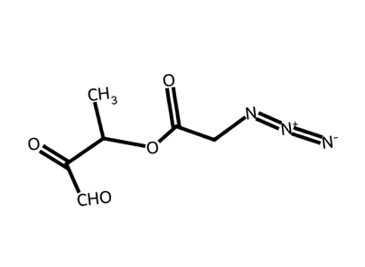 CC(OC(=O)CN=[N+]=[N-])C(=O)C=O